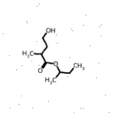 CCC(C)OC(=O)C(C)CCO